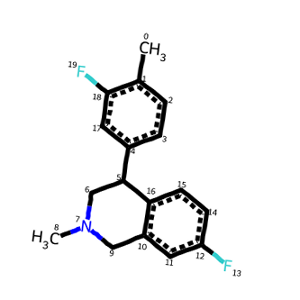 Cc1ccc(C2CN(C)Cc3cc(F)ccc32)cc1F